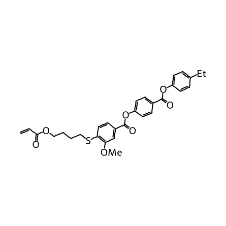 C=CC(=O)OCCCCSc1ccc(C(=O)Oc2ccc(C(=O)Oc3ccc(CC)cc3)cc2)cc1OC